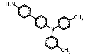 Cc1ccc(N(c2ccc(-c3ccc(N)cc3)cc2)c2cccc(C)c2)cc1